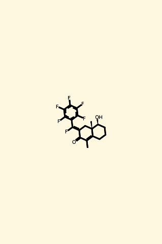 CC1=C2CCC[C@H](O)[C@@]2(C)CC(=C(F)c2c(F)c(F)c(F)c(F)c2F)C1=O